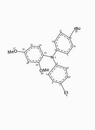 CCc1ccc(N(c2ccc(C(C)(C)C)cc2)c2ccc(OC)cc2OC)cc1